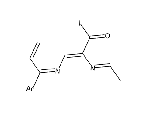 C=C\C(=N/C=C(\N=C\C)C(=O)I)C(C)=O